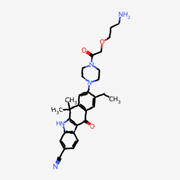 CCc1cc2c(cc1N1CCN(C(=O)COCCCN)CC1)C(C)(C)c1[nH]c3cc(C#N)ccc3c1C2=O